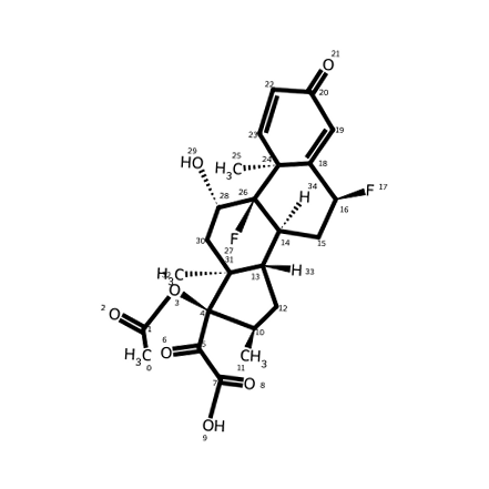 CC(=O)O[C@]1(C(=O)C(=O)O)[C@H](C)C[C@H]2[C@@H]3C[C@H](F)C4=CC(=O)C=C[C@]4(C)[C@@]3(F)[C@@H](O)C[C@@]21C